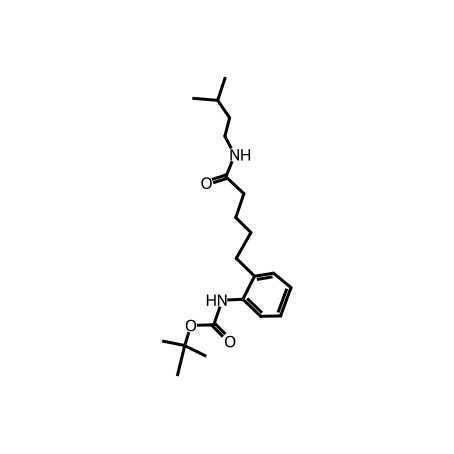 CC(C)CCNC(=O)CCCCc1ccccc1NC(=O)OC(C)(C)C